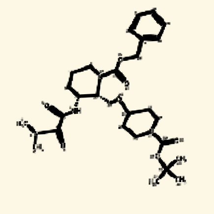 CN(C)C(=O)C(=O)N[C@@H]1CCCN(C(=O)OCc2ccccc2)[C@@H]1COC1CCN(C(=O)OC(C)(C)C)CC1